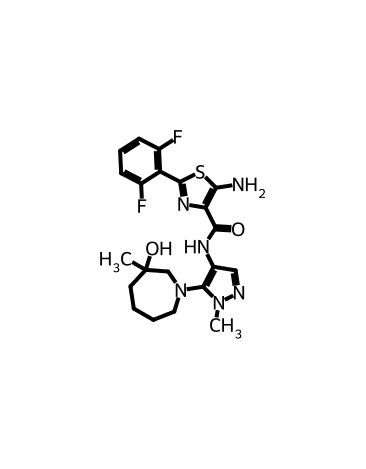 Cn1ncc(NC(=O)c2nc(-c3c(F)cccc3F)sc2N)c1N1CCCCC(C)(O)C1